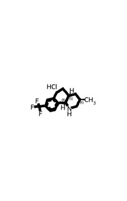 C[C@H]1CN[C@H]2c3ccc(C(F)(F)F)cc3CC[C@H]2C1.Cl